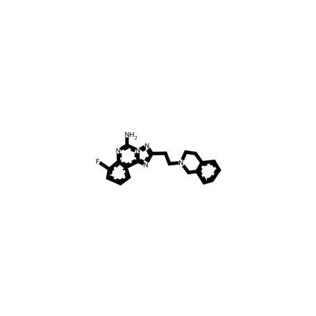 Nc1nc2c(F)cccc2c2nc(CCN3CCc4ccccc4C3)nn12